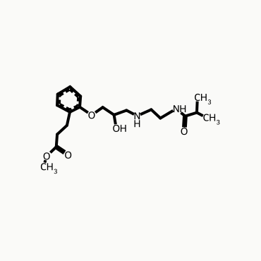 COC(=O)CCc1ccccc1OCC(O)CNCCNC(=O)C(C)C